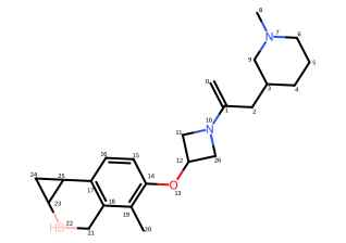 C=C(CC1CCCN(C)C1)N1CC(Oc2ccc3c(c2C)CBC2CC32)C1